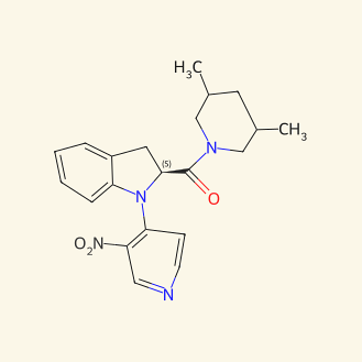 CC1CC(C)CN(C(=O)[C@@H]2Cc3ccccc3N2c2ccncc2[N+](=O)[O-])C1